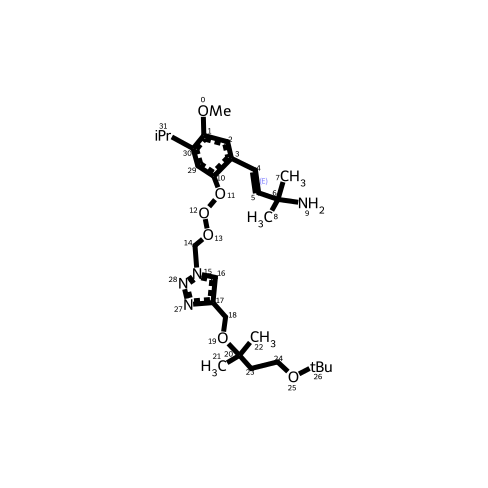 COc1cc(/C=C/C(C)(C)N)c(OOOCn2cc(COC(C)(C)CCOC(C)(C)C)nn2)cc1C(C)C